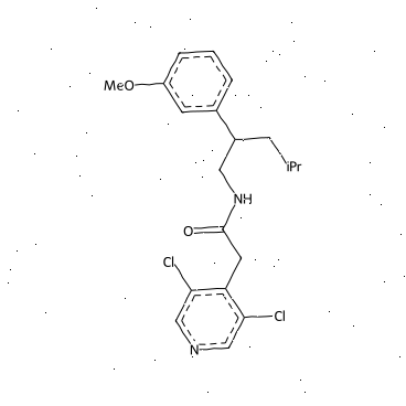 COc1cccc(C(CNC(=O)Cc2c(Cl)cncc2Cl)CC(C)C)c1